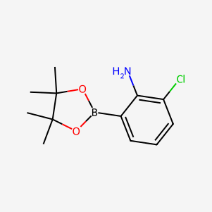 CC1(C)OB(c2cccc(Cl)c2N)OC1(C)C